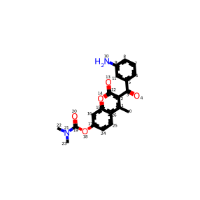 Cc1c(C(=O)c2cccc(N)c2)c(=O)oc2cc(OC(=O)N(C)C)ccc12